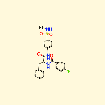 CCNS(=O)(=O)c1ccc(NC(=O)C(Cc2ccccc2)NC(=O)c2ccc(F)cc2)cc1